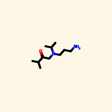 CC(C)C(=O)CN(CCCN)C(C)C